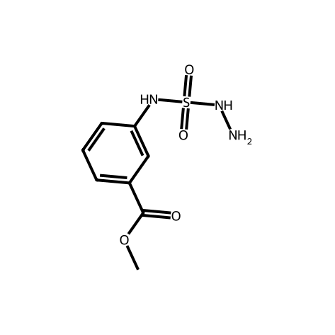 COC(=O)c1cccc(NS(=O)(=O)NN)c1